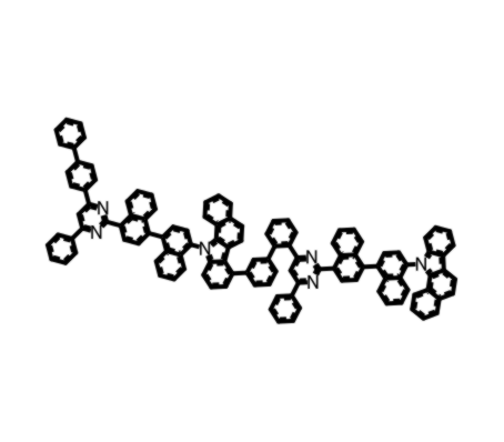 c1ccc(-c2ccc(-c3cc(-c4ccccc4)nc(-c4ccc(-c5ccc(-n6c7cccc(-c8cccc(-c9ccccc9-c9cc(-c%10ccccc%10)nc(-c%10ccc(-c%11ccc(-n%12c%13ccccc%13c%13ccc%14ccccc%14c%13%12)c%12ccccc%11%12)c%11ccccc%10%11)n9)c8)c7c7ccc8ccccc8c76)c6ccccc56)c5ccccc45)n3)cc2)cc1